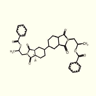 CC(CN1C(=O)C2CCC(C3CC[C@H]4C(=O)N(CC(C)OC(=O)c5ccccc5)C(=O)C4C3)CC2C1=O)OC(=O)c1ccccc1